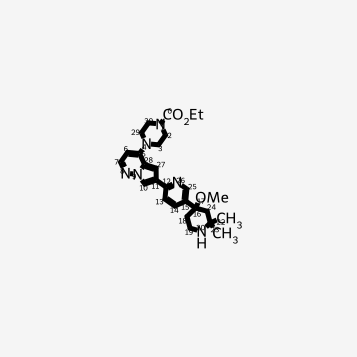 CCOC(=O)N1CCN(c2ccnn3cc(-c4ccc(C5(OC)CCNC(C)(C)C5)cn4)cc23)CC1